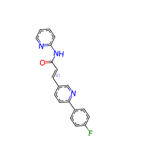 O=C(/C=C/c1ccc(-c2ccc(F)cc2)nc1)Nc1ccccn1